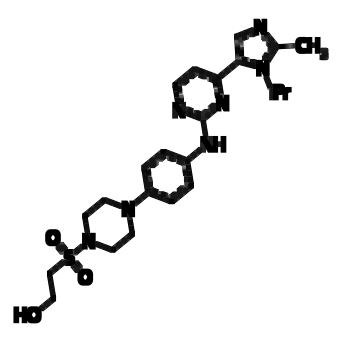 Cc1ncc(-c2ccnc(Nc3ccc(N4CCN(S(=O)(=O)CCO)CC4)cc3)n2)n1C(C)C